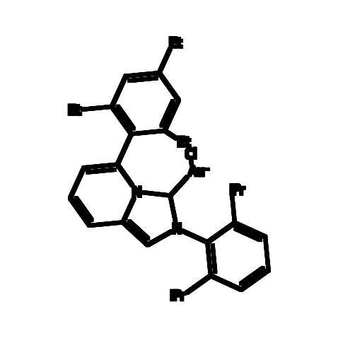 CCc1cc(CC)c(C2=CC=CC3=CN(c4c(C(C)C)cccc4C(C)C)[CH]([Au-][Cl])N32)c(CC)c1